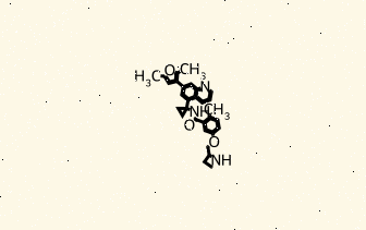 Cc1cc(-c2cc(C3(NC(=O)c4cc(OCC5CCN5)ccc4C)CC3)c3cccnc3c2)c(C)o1